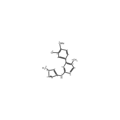 COc1ccc(-c2nc(Nc3cnn(C)c3)ncc2C)cc1Cl